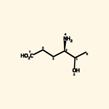 CC(O)[C@H](N)CCC(=O)O